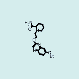 CCOc1ccc2ncc(OCCN3CC[CH]CC3C(N)=O)nc2c1